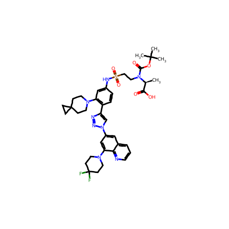 C[C@@H](C(=O)O)N(CCS(=O)(=O)Nc1ccc(-c2cn(-c3cc(N4CCC(F)(F)CC4)c4ncccc4c3)nn2)c(N2CCC3(CC2)CC3)c1)C(=O)OC(C)(C)C